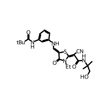 CCn1c(=C(C#N)C(=O)NC(C)(C)CO)sc(=CNc2cccc(NC(=O)C(C)(C)C)c2)c1=O